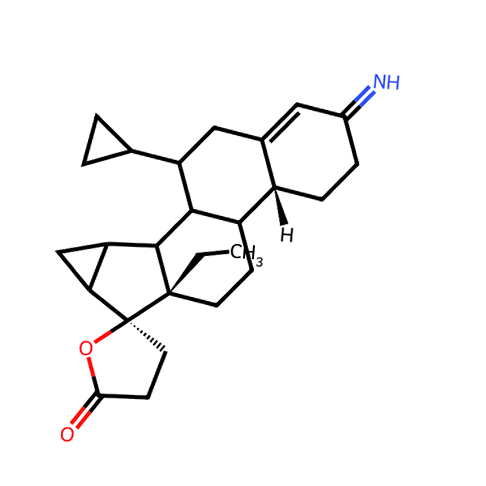 CC[C@]12CCC3C(C(C4CC4)CC4=CC(=N)CC[C@@H]43)C1C1CC1[C@@]21CCC(=O)O1